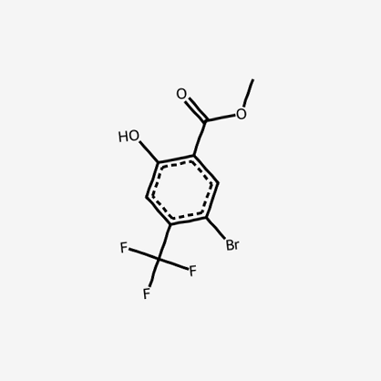 COC(=O)c1cc(Br)c(C(F)(F)F)cc1O